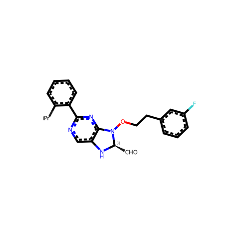 CC(C)c1ccccc1-c1ncc2c(n1)N(OCCc1cccc(F)c1)[C@@H](C=O)N2